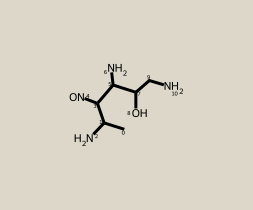 CC(N)C(N=O)C(N)C(O)CN